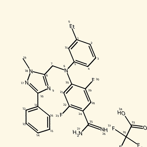 CCc1cccc(N(Cc2nc(-c3ccccc3)nn2C)c2cc(F)c(C(=N)N)cc2F)c1.O=C(O)C(F)(F)F